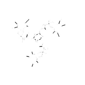 C=CC(=O)OCC(C)(COC(=O)C=C)NC(=O)Oc1nc(OC(=O)NC(C)(COC(=O)C=C)COC(=O)C=C)nc(OC(=O)NC(C)(COC(=O)C=C)COC(=O)C=C)n1